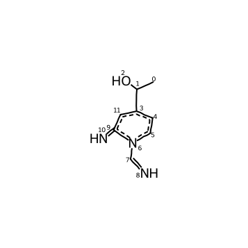 CC(O)c1ccn(C=N)c(=N)c1